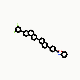 Fc1cc(F)cc(-c2ccc3c(ccc4cc(-c5ccc6cc(-c7ccc(-c8nc9ccccc9o8)cc7)ccc6c5)ccc43)c2)c1